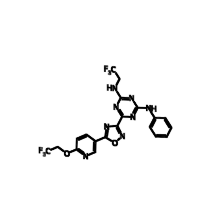 FC(F)(F)CNc1nc(Nc2ccccc2)nc(-c2noc(-c3ccc(OCC(F)(F)F)nc3)n2)n1